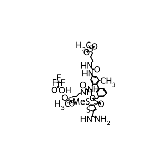 CSc1sc(C(=N)N)cc1S(=O)(=O)c1cccc(-c2c(C)cc(NC(=O)NCCCS(C)(=O)=O)cc2NC(=O)NCCCS(C)(=O)=O)c1.O=C(O)C(F)(F)F